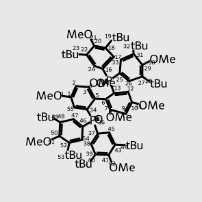 COc1cc(OC)c(-c2c(OC)cc(OC)cc2P(=O)(c2cc(C(C)(C)C)c(OC)c(C(C)(C)C)c2)c2cc(C(C)(C)C)c(OC)c(C(C)(C)C)c2)c(P(=O)(c2cc(C(C)(C)C)c(OC)c(C(C)(C)C)c2)c2cc(C(C)(C)C)c(OC)c(C(C)(C)C)c2)c1